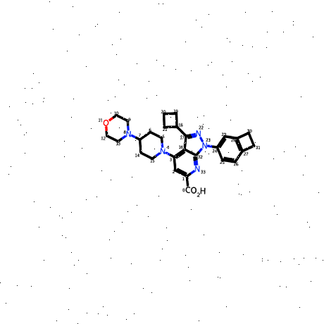 O=C(O)c1cc(N2CCC(N3CCOCC3)CC2)c2c(C3CCC3)nn(-c3ccc4c(c3)CC4)c2n1